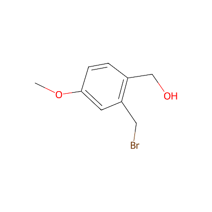 COc1ccc(CO)c(CBr)c1